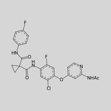 CC(=O)Nc1cc(Oc2cc(F)c(NC(=O)C3(C(=O)Nc4ccc(F)cc4)CC3)cc2Cl)ccn1